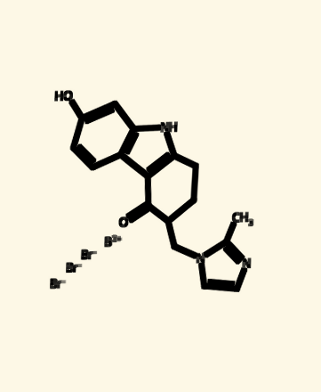 Cc1nccn1CC1CCc2[nH]c3cc(O)ccc3c2C1=O.[B+3].[Br-].[Br-].[Br-]